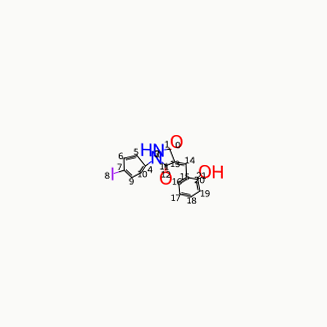 O=C1NN(c2ccc(I)cc2)C(=O)/C1=C\c1ccccc1O